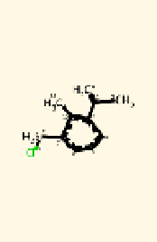 C=C(C)c1cccc([SiH2]Cl)c1C